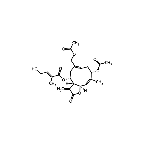 C=C1C(=O)O[C@@H]2/C=C(/C)[C@@H](OC(C)=O)C/C=C(\COC(C)=O)C[C@@H](OC(=O)/C(C)=C/CO)[C@@H]12